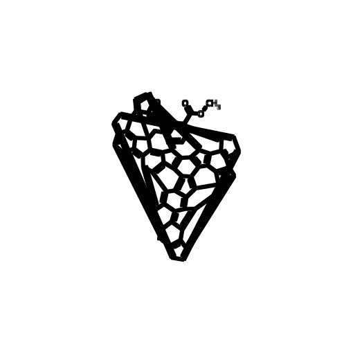 COC(=O)c1cccc(CC23c4c5c6c7c8c9c%10c%11c(c2c2c%12c3c3c%13c4c6c4c6c%13c%13c3c3c%12c%12c%14c2c%11c2c%11c%10c%10c8c8c7c4c4c6c6c%13c7c3c%12c3c(c%142)c2c%11c%10c%10c8c4c4c%10c2c3c7c64)C59N2CCOCC2)c1